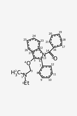 CCN(C)COc1c(-c2ccccc2)n(C(=O)c2ccccc2)c2ccccc12